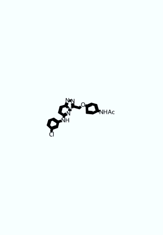 CC(=O)Nc1ccc(OCc2nnc3ccc(Nc4cccc(Cl)c4)nn23)cc1